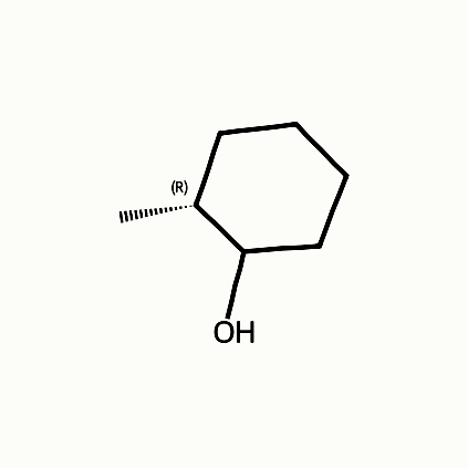 C[C@@H]1CCCCC1O